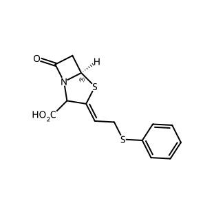 O=C(O)C1C(=CCSc2ccccc2)S[C@@H]2CC(=O)N12